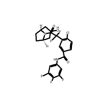 O=C(Nc1cc(F)c(F)c(F)c1)c1ccc(Cl)c(C(F)(F)C(=O)N2[C@@H]3CC[C@H]2CC(O)C3)c1